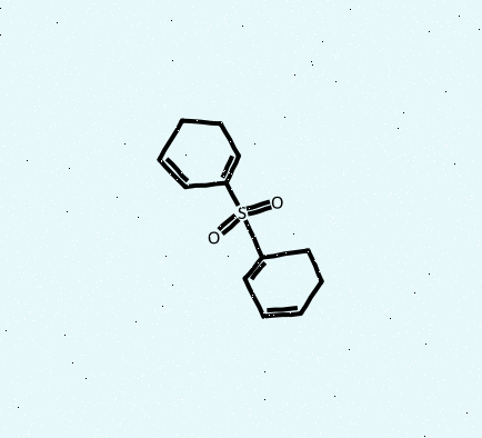 O=S(=O)(C1=CCCC=C1)C1=CC=CCC1